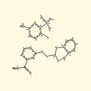 COC(=O)c1ccc[n+](CCC2COc3ccccc3C2)c1.Cc1ccc(O)cc1S(=O)(=O)[O-]